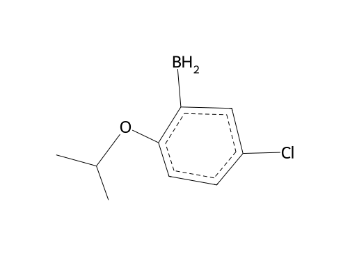 Bc1cc(Cl)ccc1OC(C)C